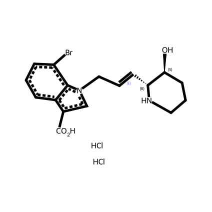 Cl.Cl.O=C(O)c1cn(C/C=C/[C@H]2NCCC[C@@H]2O)c2c(Br)cccc12